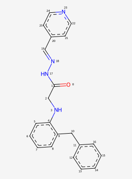 O=C(CNc1ccccc1Cc1ccccc1)N/N=C/c1ccncc1